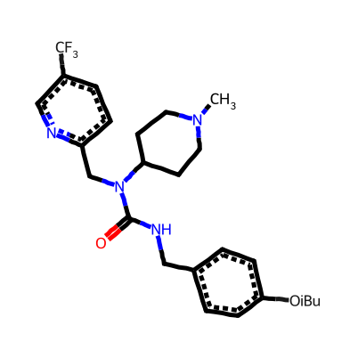 CC(C)COc1ccc(CNC(=O)N(Cc2ccc(C(F)(F)F)cn2)C2CCN(C)CC2)cc1